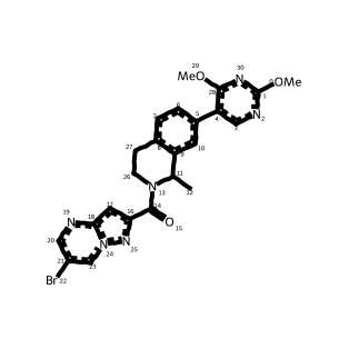 COc1ncc(-c2ccc3c(c2)C(C)N(C(=O)c2cc4ncc(Br)cn4n2)CC3)c(OC)n1